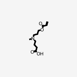 C=CC(=O)OCCCN(C)CCCC(=O)O